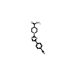 N#Cc1ccc(-c2csc(N3CCC(C(N)=O)CC3)n2)cc1